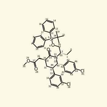 CC[C@@H](CO[Si](c1ccccc1)(c1ccccc1)C(C)(C)C)N1C(=O)[C@H](CC(=O)OC)C[C@H](c2cccc(Cl)c2)[C@H]1c1ccc(Cl)cc1